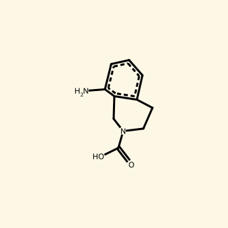 Nc1cccc2c1CN(C(=O)O)CC2